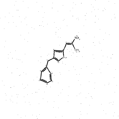 CC(=Cc1cc(Cc2ccccc2)cs1)[N+](=O)[O-]